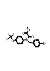 COC(=O)C(=O)N(Cc1ccc(Br)cc1)c1ccc(OC(F)(F)F)cc1